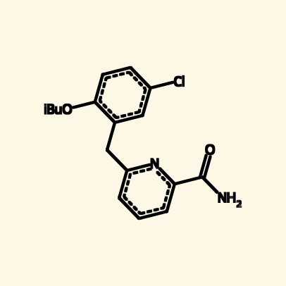 CC(C)COc1ccc(Cl)cc1Cc1cccc(C(N)=O)n1